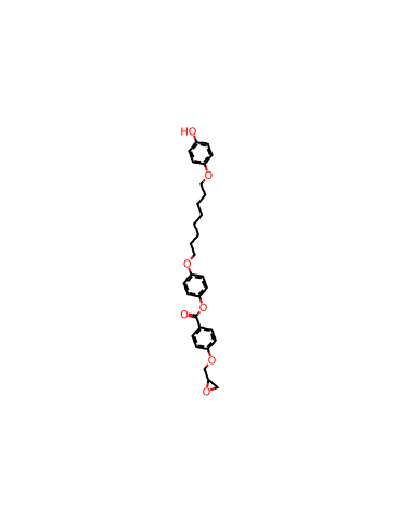 O=C(Oc1ccc(OCCCCCCCCOc2ccc(O)cc2)cc1)c1ccc(OCC2CO2)cc1